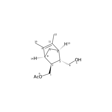 CC(=O)OC[C@@H]1[C@@H](CO)[C@H]2C[C@@H]1C(C)=C2C